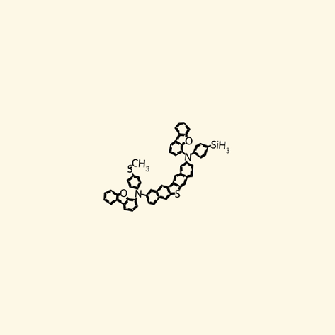 CSc1ccc(N(c2ccc3cc4sc5cc6ccc(N(c7ccc([SiH3])cc7)c7cccc8c7oc7ccccc78)cc6cc5c4cc3c2)c2cccc3c2oc2ccccc23)cc1